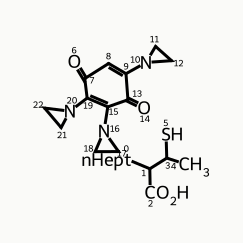 CCCCCCCC(C(=O)O)C(C)S.O=C1C=C(N2CC2)C(=O)C(N2CC2)=C1N1CC1